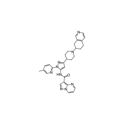 Cc1ccc(-n2nc(C3CCN(C4CCc5ccncc5C4)CC3)cc2NC(=O)c2cnn3cccnc23)nc1